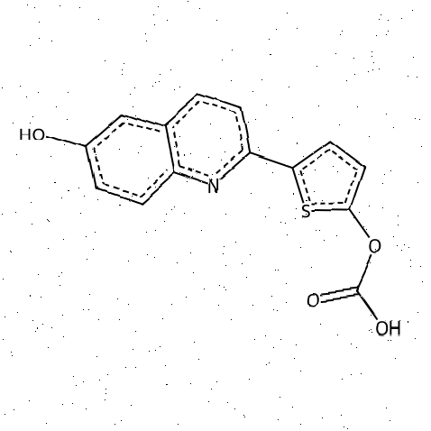 O=C(O)Oc1ccc(-c2ccc3cc(O)ccc3n2)s1